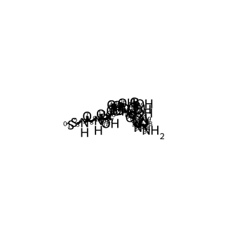 CSSCCNC(=O)CCNC(=O)[C@@H](O)C(C)(C)COP(=O)(O)OP(=O)(O)OC[C@H]1O[C@@H](n2cnc3c(N)ccnc32)C(O)[C@H]1OP(=O)(O)O